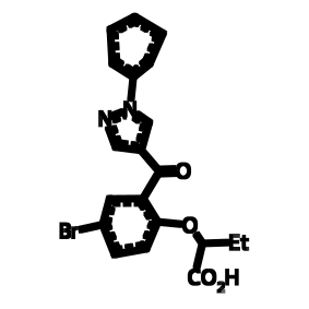 CCC(Oc1ccc(Br)cc1C(=O)c1cnn(-c2ccccc2)c1)C(=O)O